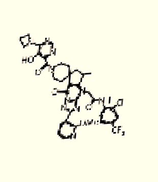 COc1ncccc1-c1nc2n(CC(=O)Nc3ccc(C(F)(F)F)cc3Cl)c3c(c(=O)n2n1)C1(CCN(C(=O)c2ncnc(N4CCC4)c2O)CC1)CC3C